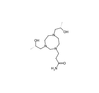 C[C@H](O)CN1CCN(CCC(N)=O)CN(C[C@H](C)O)CC1